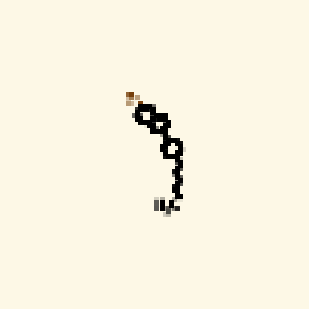 CCCCCCC1CC=C(c2ccc3cc(Br)ccc3c2)CC1